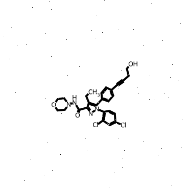 CCc1c(C(=O)NN2CCOCC2)nn(-c2ccc(Cl)cc2Cl)c1-c1ccc(C#CCCO)cc1